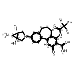 N[C@@H]1[C@H]2CN(c3ccc4c(c3)CCCc3c-4[nH]c(=O)c(C(=O)O)c3OC(=O)C(F)(F)F)C[C@@H]12